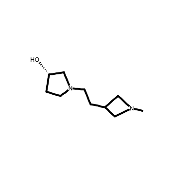 CN1CC(CCN2CC[C@H](O)C2)C1